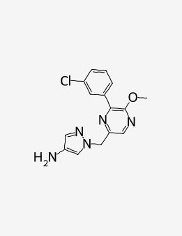 COc1ncc(Cn2cc(N)cn2)nc1-c1cccc(Cl)c1